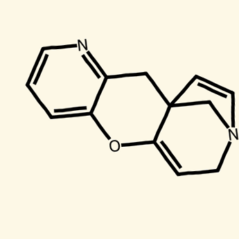 C1=CC23Cc4ncccc4OC2=CCN1C3